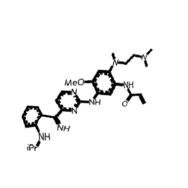 C=CC(=O)Nc1cc(Nc2nccc(C(=N)c3ccccc3NC(C)C)n2)c(OC)cc1N(C)CCN(C)C